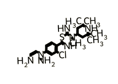 CN(C(=N)SC(=N)c1ccc(N(N)/C=C\N)cc1Cl)C1CC(C)(C)NC(C)(C)C1